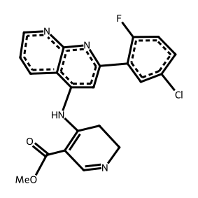 COC(=O)C1=C(Nc2cc(-c3cc(Cl)ccc3F)nc3ncccc23)CCN=C1